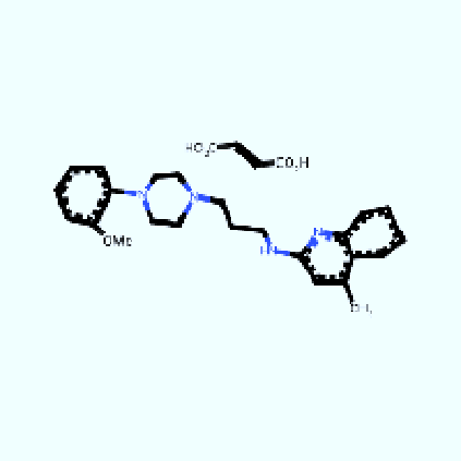 COc1ccccc1N1CCN(CCCNc2cc(C)c3ccccc3n2)CC1.O=C(O)/C=C/C(=O)O